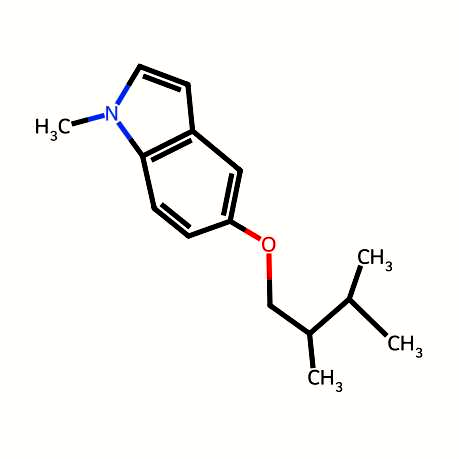 CC(C)C(C)COc1ccc2c(ccn2C)c1